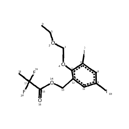 CCOCOc1c(I)cc(I)cc1COC(=O)C(C)(F)F